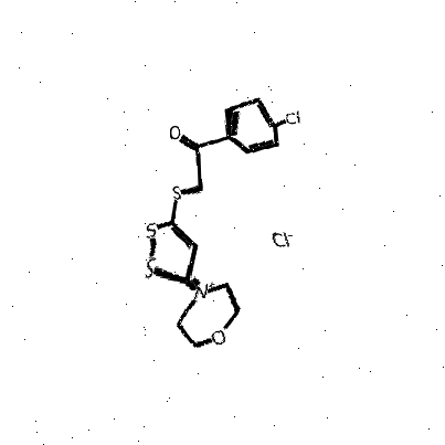 O=C(CSc1cc(=[N+]2CCOCC2)ss1)c1ccc(Cl)cc1.[Cl-]